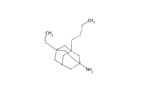 CCCCC12CC3CC(N)(CC(CC)(C3)C1)C2